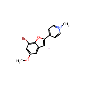 COc1cc(Br)c2oc(-c3cc[n+](C)cc3)cc2c1.[I-]